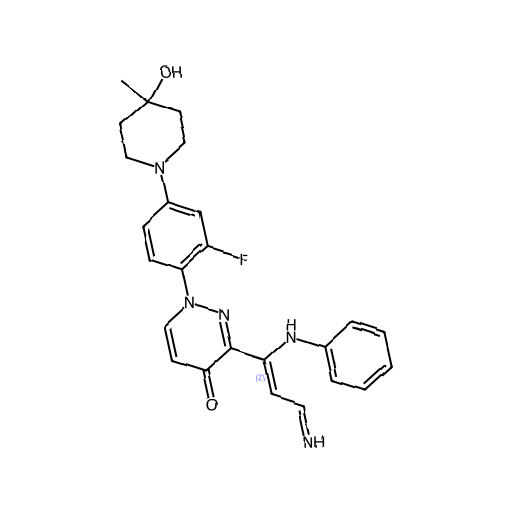 CC1(O)CCN(c2ccc(-n3ccc(=O)c(/C(=C/C=N)Nc4ccccc4)n3)c(F)c2)CC1